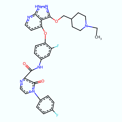 CCN1CCC(COc2n[nH]c3nccc(Oc4ccc(NC(=O)c5nccn(-c6ccc(F)cc6)c5=O)cc4F)c23)CC1